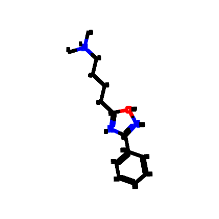 CN(C)CCCCc1nc(-c2ccccc2)no1